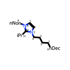 CCCCCCCCCCCCCCN1C=CN(CCCCCCCCC)C1C(C)C